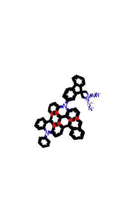 [N-]=[N+]=NCC1(CN=[N+]=[N-])c2ccccc2-c2ccc(N(c3ccccc3)c3ccccc3-c3ccc(-c4ccccc4N(c4ccccc4)c4ccc(-c5cccc6ccccc56)cc4)cc3)cc21